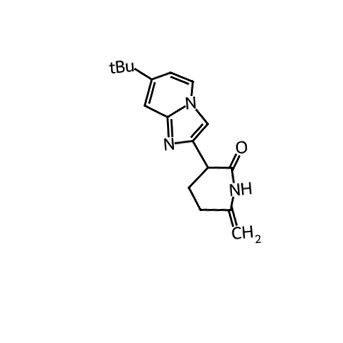 C=C1CCC(c2cn3ccc(C(C)(C)C)cc3n2)C(=O)N1